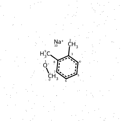 C[O-].Cc1ccccc1C.[Na+]